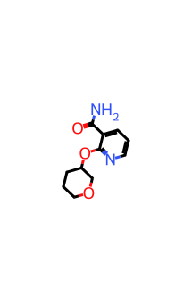 NC(=O)c1cccnc1OC1CCCOC1